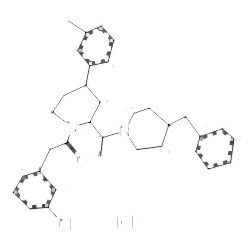 Cc1cccc(C2CCN(C(=O)Cc3cccc(Cl)c3)C(C(C)N3CCC(Cc4ccccc4)CC3)C2)c1.Cl